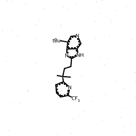 CC(C)(C)c1cncc2[nH]c(CCC(C)(C)c3cccc(C(F)(F)F)n3)nc12